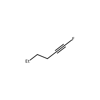 CCCCC#CF